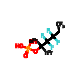 CCCC(CCC)(OP(=O)(O)O)C(F)(F)C(F)(F)CC(F)(F)F